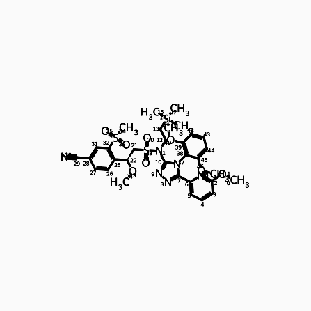 COc1cccc(-c2nnc(N(CC[Si](C)(C)C)S(=O)(=O)C[C@@H](OC)c3ccc(C#N)cc3S(C)(=O)=O)n2-c2c(OC)cccc2OC)n1